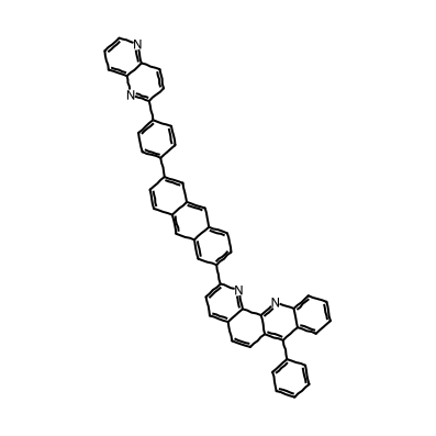 c1ccc(-c2c3ccccc3nc3c2ccc2ccc(-c4ccc5cc6cc(-c7ccc(-c8ccc9ncccc9n8)cc7)ccc6cc5c4)nc23)cc1